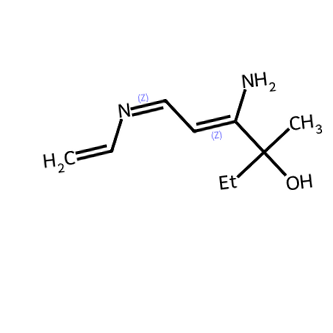 C=C/N=C\C=C(/N)C(C)(O)CC